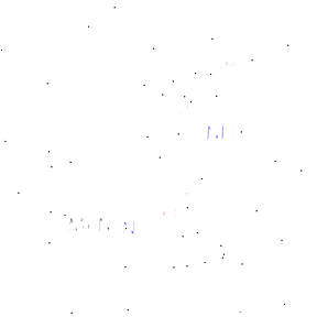 CNN(C)COC(C)(C)CCNC(=O)CC(C)C